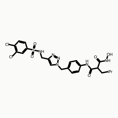 CC(C)CC(C(=O)NO)C(=O)Nc1ccc(Cn2cc(CNS(=O)(=O)c3ccc(Cl)c(Cl)c3)nn2)cc1